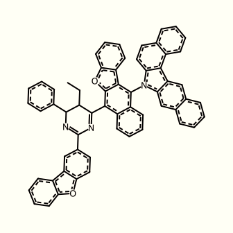 CCC1C(c2c3ccccc3c(-n3c4cc5ccccc5cc4c4c5ccccc5ccc43)c3c2oc2ccccc23)=NC(c2ccc3oc4ccccc4c3c2)=NC1c1ccccc1